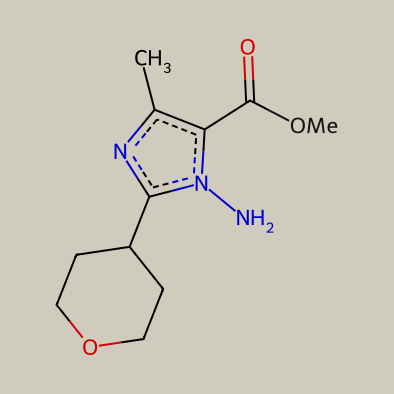 COC(=O)c1c(C)nc(C2CCOCC2)n1N